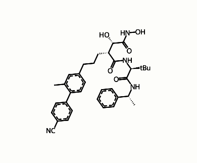 Cc1cc(CCC[C@@H](C(=O)N[C@H](C(=O)N[C@H](C)c2ccccc2)C(C)(C)C)[C@H](O)C(=O)NO)ccc1-c1ccc(C#N)cc1